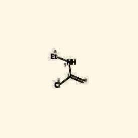 C=C(Cl)NCC